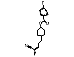 N#C/C(F)=C\CCC1CCC(OC(=O)c2ccc(F)cc2)CC1